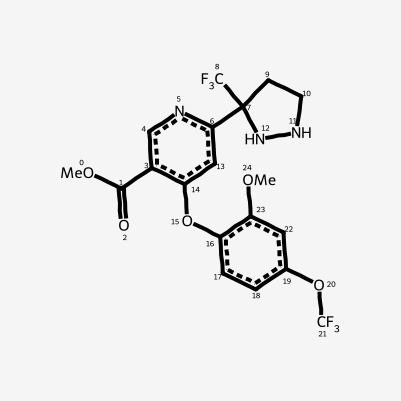 COC(=O)c1cnc(C2(C(F)(F)F)CCNN2)cc1Oc1ccc(OC(F)(F)F)cc1OC